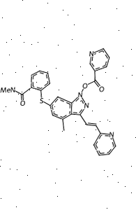 CNC(=O)c1ccccc1Sc1cc(C)c2c(/C=C/c3ccccn3)nn(OC(=O)c3cccnc3)c2c1